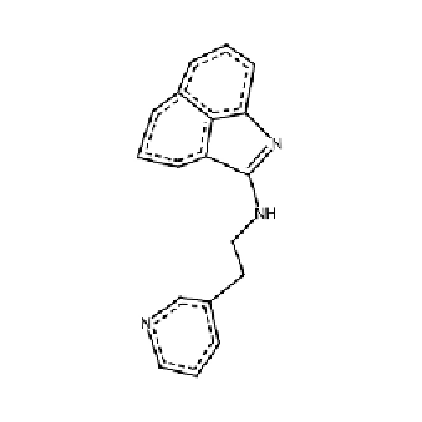 c1cncc(CCNC2=Nc3cccc4cccc2c34)c1